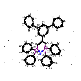 C1=C(c2cc(-c3ccccc3)cc(-c3ccccc3)c2)C=P(c2ccccc2)(c2ccccc2)N=P1(c1ccccc1)c1ccccc1